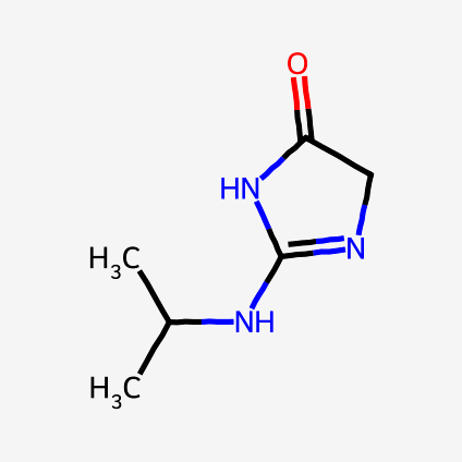 CC(C)NC1=NCC(=O)N1